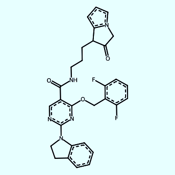 O=C(NCCCC1C(=O)Cn2cccc21)c1cnc(N2CCc3ccccc32)nc1OCc1c(F)cccc1F